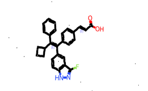 O=C(O)/C=C/c1ccc(/C(=C(\c2ccccc2)C2CCC2)c2ccc3[nH]nc(F)c3c2)cc1